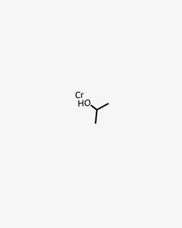 CC(C)O.[Cr]